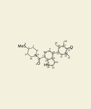 CSC1CCN(C(=O)c2ccc(-c3cn(C)c(=O)c(C)c3C)c3cc[nH]c23)CC1